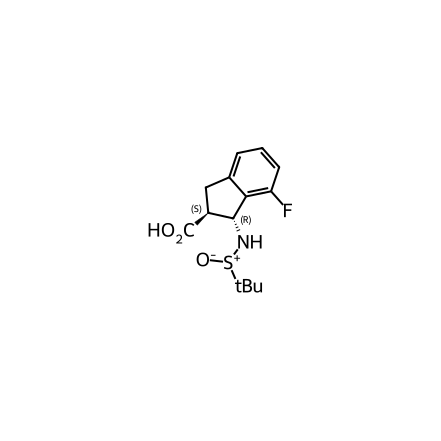 CC(C)(C)[S+]([O-])N[C@H]1c2c(F)cccc2C[C@@H]1C(=O)O